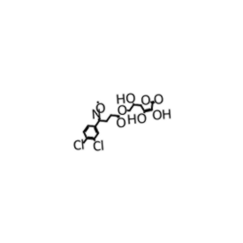 CON=C(CCC(=O)OC[C@H](O)[C@H]1OC(=O)C(O)=C1O)c1ccc(Cl)c(Cl)c1